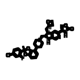 C[C@]1(c2ccc(Cl)cc2F)Oc2cccc(C3CCN(CC4Nc5cnc(-c6noc(=O)[nH]6)cc5N4C[C@@H]4CCO4)CC3)c2O1